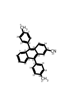 Cc1ccc(-c2c3ccccc3c(-c3ccc(C)cc3)c3cc(C#N)ccc23)cc1